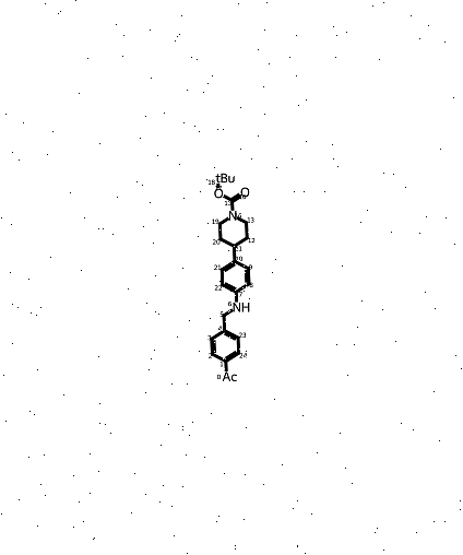 CC(=O)c1ccc(CNc2ccc(C3CCN(C(=O)OC(C)(C)C)CC3)cc2)cc1